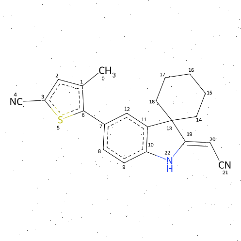 Cc1cc(C#N)sc1-c1ccc2c(c1)C1(CCCCC1)C(=CC#N)N2